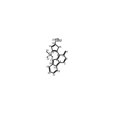 C=c1ccc2c(c1C1=C([Si](C)(C)C)C=C(C(C)(C)C)C1)[C]=c1ccccc1=2